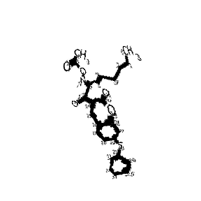 CCCCCC/C(=N\OC(C)=O)C(=O)c1cc2ccc(Sc3ccccc3)cc2oc1=O